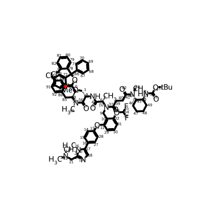 COC[C@H](NC(=O)[C@H](C)N(Cc1c(Oc2ccc(-c3cnc(CN(C)C)n3C)cc2)cccc1OC(F)F)C(=O)CCC(=O)N(C)[C@H]1CCCC[C@@H]1NC(=O)OC(C)(C)C)C(=O)N(C)[C@H](CC(=O)OC(c1ccccc1)(c1ccccc1)c1ccccc1Cl)Cc1ccc(Cl)cc1